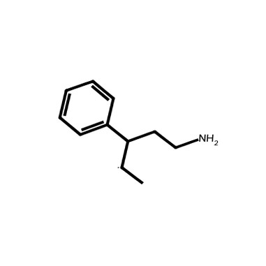 C[CH]C(CCN)c1ccccc1